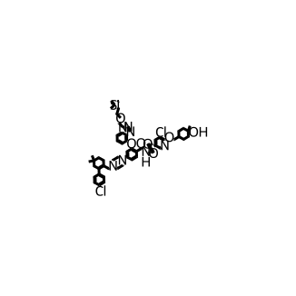 CC1(C)CCC(CN2CCN(c3ccc(C(=O)NS(=O)(=O)c4cnc(OCC5CCC(C)(O)CC5)c(Cl)c4)c(Oc4cccc5c4nnn5COCC[Si](C)(C)C)c3)CC2)=C(c2ccc(Cl)cc2)C1